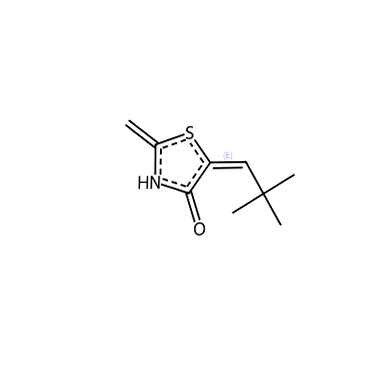 C=c1[nH]c(=O)/c(=C\C(C)(C)C)s1